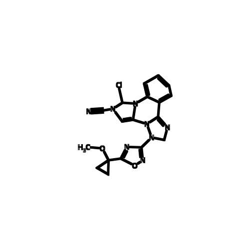 COC1(c2nc(N3CN=C4c5ccccc5N5C(=CN(C#N)C5Cl)N43)no2)CC1